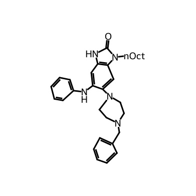 CCCCCCCCn1c(=O)[nH]c2cc(Nc3ccccc3)c(N3CCN(Cc4ccccc4)CC3)cc21